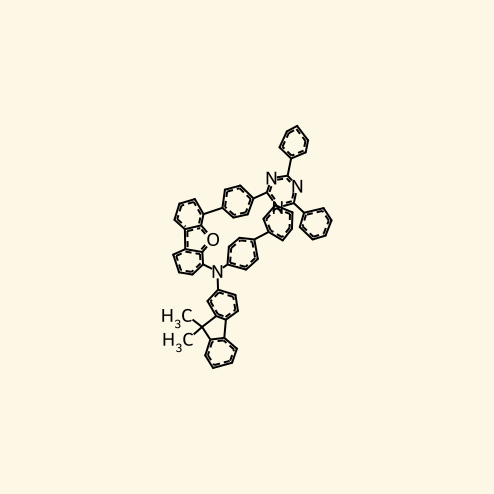 CC1(C)c2ccccc2-c2ccc(N(c3ccc(-c4ccccc4)cc3)c3cccc4c3oc3c(-c5ccc(-c6nc(-c7ccccc7)nc(-c7ccccc7)n6)cc5)cccc34)cc21